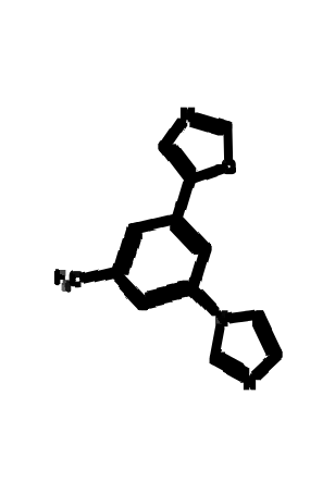 FC(F)(F)c1cc(-c2cnco2)cc(-n2ccnc2)c1